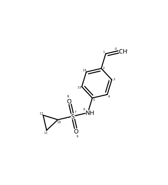 [CH]=Cc1ccc(NS(=O)(=O)C2CC2)cc1